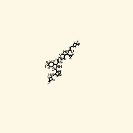 O=C(CC1CC(F)(F)C1)NC(c1cnn2cc([C@@H](NC(=O)c3nonc3NC3CC(F)C3)C3CCC(F)(F)CC3)nc2c1)C1CC1